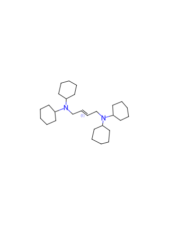 C(=C\CN(C1CCCCC1)C1CCCCC1)/CN(C1CCCCC1)C1CCCCC1